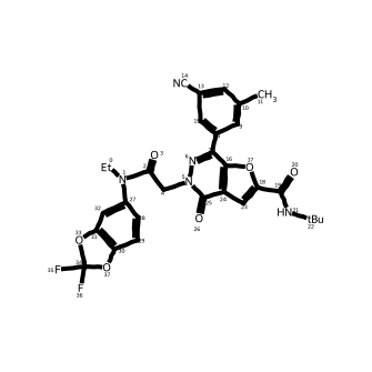 CCN(C(=O)Cn1nc(-c2cc(C)cc(C#N)c2)c2oc(C(=O)NC(C)(C)C)cc2c1=O)c1ccc2c(c1)OC(F)(F)O2